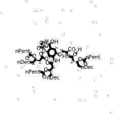 CCCCCCCCCCC[C@H](CC(=O)NC1C(OC(=O)C[C@@H](CCCCCCCCCCC)OC(=O)CCCCC)[C@H](OP(=O)(O)O)C(CO)C[C@H]1OC[C@H](NC(=O)C[C@@H](CCCCCCCCCCC)OC(=O)CCCCC)C(=O)O)OC(=O)CCCCC